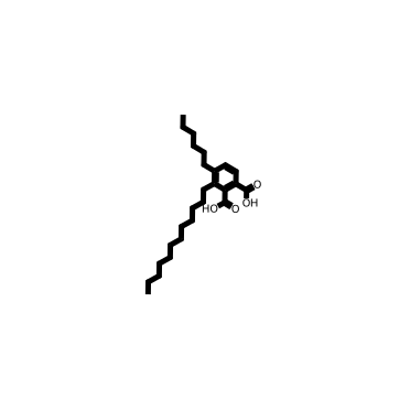 CCCCCCCCCCCCc1c(CCCCCC)ccc(C(=O)O)c1C(=O)O